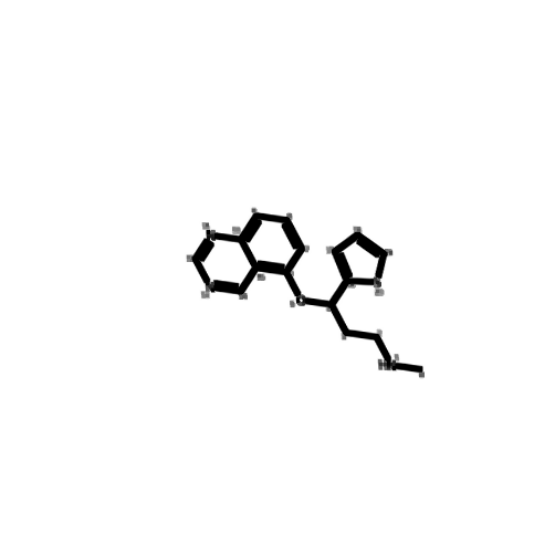 CNCCC(Oc1cccc2ncncc12)c1cccs1